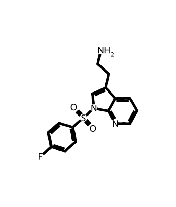 NCCc1cn(S(=O)(=O)c2ccc(F)cc2)c2ncccc12